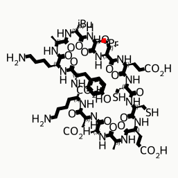 CC[C@H](C)[C@H](NC(=O)[C@H](C)NC(=O)[C@H](CCCCN)NC(=O)[C@@H](N)Cc1ccc(O)cc1)C(=O)N[C@@H](CC(C)C)C(=O)N[C@H](C(=O)N[C@@H](CCC(=O)O)C(=O)N[C@@H](CS)C(=O)N[C@@H](CS)C(=O)N[C@@H](CCC(=O)O)C(=O)N[C@@H](C)C(=O)N[C@@H](C)C(=O)N[C@@H](CC(=O)O)C(=O)N[C@@H](CCCCN)C(=O)O)[C@@H](C)O